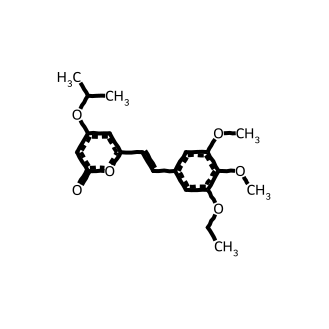 CCOc1cc(/C=C/c2cc(OC(C)C)cc(=O)o2)cc(OC)c1OC